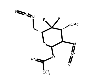 CC(=O)O[C@@H]1C(N=[N+]=[N-])C(OC(=N)C(Cl)(Cl)Cl)O[C@H](CN=[N+]=[N-])C1(F)F